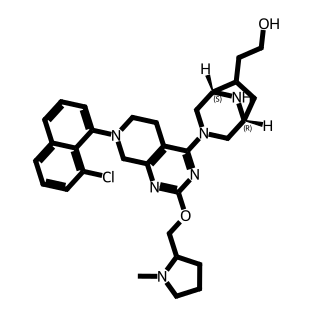 CN1CCCC1COc1nc2c(c(N3C[C@H]4CC(CCO)[C@@H](C3)N4)n1)CCN(c1cccc3cccc(Cl)c13)C2